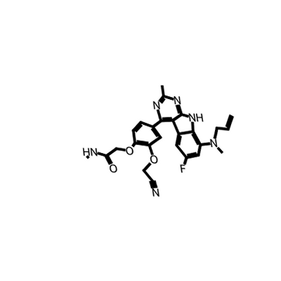 C=CCN(C)c1cc(F)cc2c1[nH]c1nc(C)nc(-c3ccc(OCC(=O)NC)c(OCC#N)c3)c12